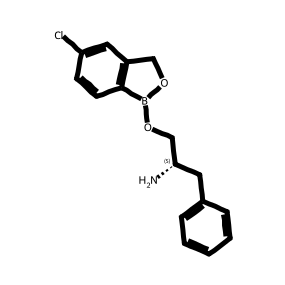 N[C@H](COB1OCc2cc(Cl)ccc21)Cc1ccccc1